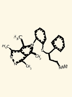 CNCCC(Oc1ccccc1-n1c(C)c2c(C)nnc(C)c2c1C)c1ccccc1